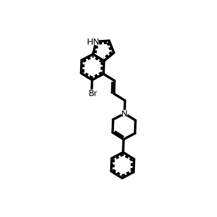 Brc1ccc2[nH]ccc2c1C=CCN1CC=C(c2ccccc2)CC1